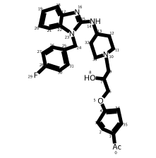 CC(=O)c1ccc(OCC(O)CN2CCC(Nc3nc4ccccc4n3Cc3ccc(F)cc3)CC2)cc1